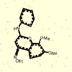 COc1ccc2/c(=N\O)cc(Nc3ccccc3)oc2c1OC